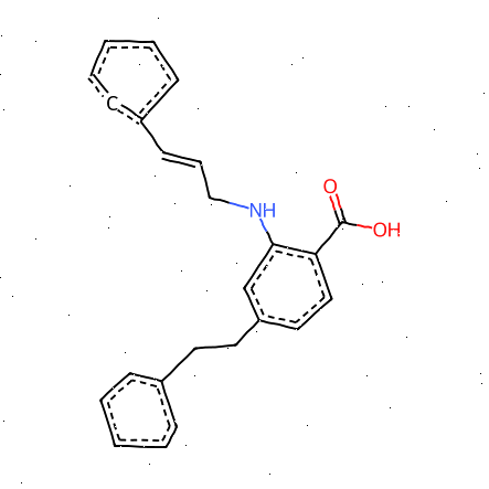 O=C(O)c1ccc(CCc2ccccc2)cc1NCC=Cc1ccccc1